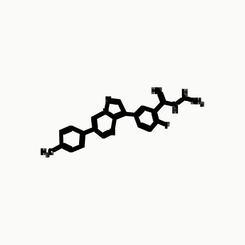 Cc1ccc(-c2cnc3c(-c4ccc(F)c(C(=N)NNN)c4)cnn3c2)cc1